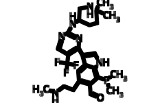 CNCCc1cc2c(-c3nc(NC4CCC(C)(C)NC4)ncc3C(F)(F)F)c[nH]c2c(P(C)C)c1C=O